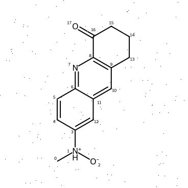 C[NH+]([O-])c1ccc2nc3c(cc2c1)CCCC3=O